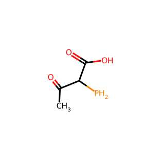 CC(=O)C(P)C(=O)O